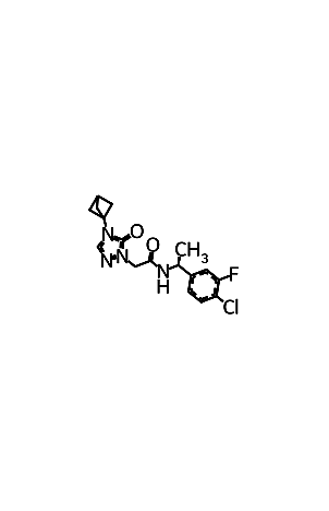 C[C@H](NC(=O)Cn1ncn(C23CC(C2)C3)c1=O)c1ccc(Cl)c(F)c1